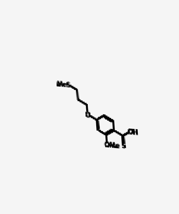 COc1cc(OCCCSC)ccc1C(O)=S